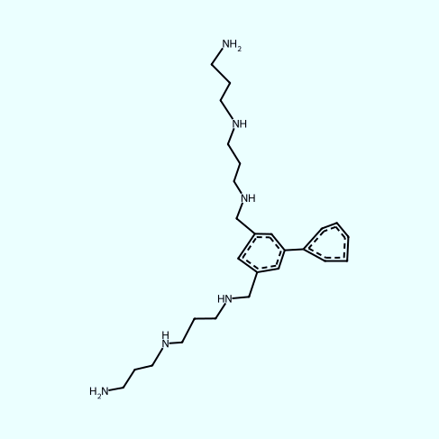 NCCCNCCCNCc1cc(CNCCCNCCCN)cc(-c2ccccc2)c1